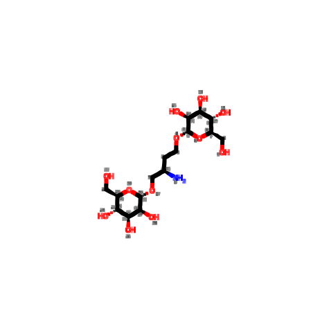 N[C@H](CCO[C@H]1O[C@H](CO)[C@@H](O)[C@H](O)[C@@H]1O)CO[C@H]1O[C@H](CO)[C@@H](O)[C@H](O)[C@@H]1O